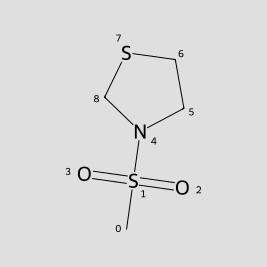 CS(=O)(=O)N1CCSC1